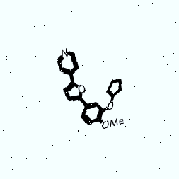 COc1ccc(-c2ccc(-c3ccncc3)o2)cc1OC1CCCC1